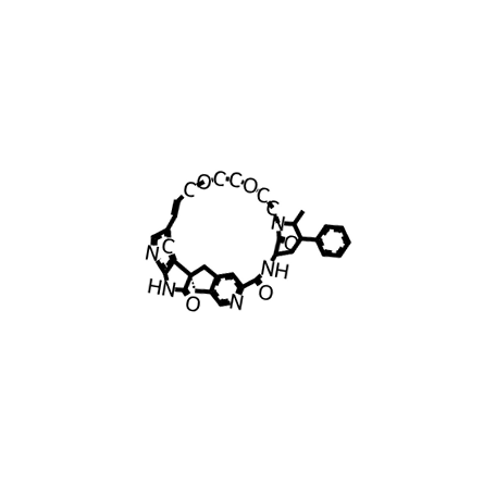 CC1C(c2ccccc2)CC2NC(=O)c3cc4c(cn3)C[C@]3(C4)C(=O)Nc4ncc(cc43)/C=C/COCCOCCN1C2=O